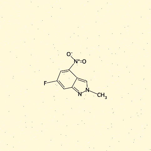 Cn1cc2c([N+](=O)[O-])cc(F)cc2n1